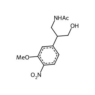 COc1cc(C(CO)CNC(C)=O)ccc1[N+](=O)[O-]